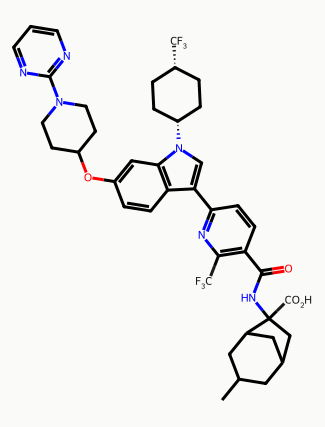 CC1CC2CC(C1)C(NC(=O)c1ccc(-c3cn([C@H]4CC[C@@H](C(F)(F)F)CC4)c4cc(OC5CCN(c6ncccn6)CC5)ccc34)nc1C(F)(F)F)(C(=O)O)C2